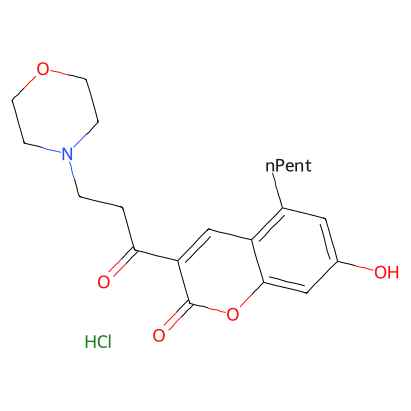 CCCCCc1cc(O)cc2oc(=O)c(C(=O)CCN3CCOCC3)cc12.Cl